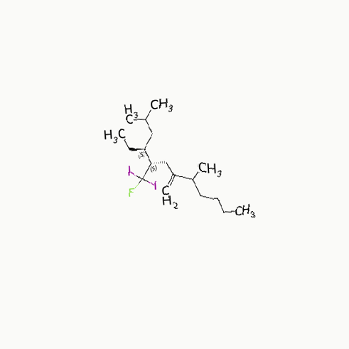 C=C(C[C@@H]([C@@H](CC)CC(C)C)C(F)(I)I)C(C)CCCC